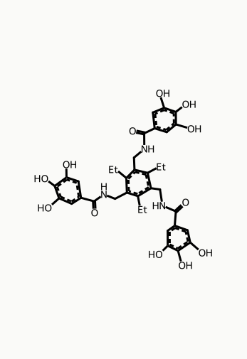 CCc1c(CNC(=O)c2cc(O)c(O)c(O)c2)c(CC)c(CNC(=O)c2cc(O)c(O)c(O)c2)c(CC)c1CNC(=O)c1cc(O)c(O)c(O)c1